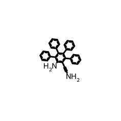 NC#Cc1c(N)c(-c2ccccc2)c(-c2ccccc2)c(-c2ccccc2)c1-c1ccccc1